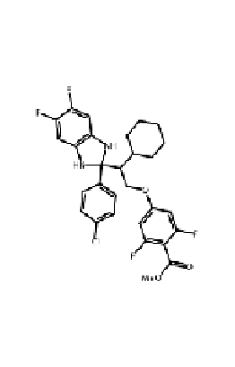 COC(=O)c1c(F)cc(OCC(C2CCCCC2)C2(c3ccc(Cl)cc3)Nc3cc(F)c(F)cc3N2)cc1F